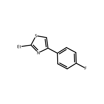 [CH2]Cc1nc(-c2ccc(F)cc2)cs1